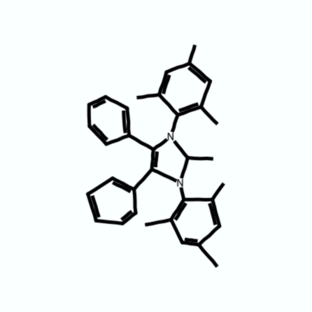 Cc1cc(C)c(N2C(c3ccccc3)=C(c3ccccc3)N(c3c(C)cc(C)cc3C)C2C)c(C)c1